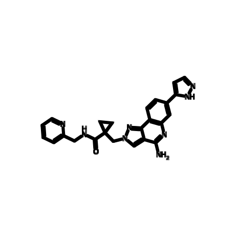 Nc1nc2cc(-c3ccn[nH]3)ccc2c2nn(CC3(C(=O)NCc4ccccn4)CC3)cc12